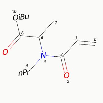 C=CC(=O)N(CCC)C(C)C(=O)OCC(C)C